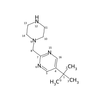 CC(C)(C)c1cnc(CN2CCNCC2)nc1